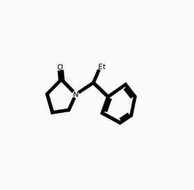 CCC(c1ccccc1)N1CCCC1=O